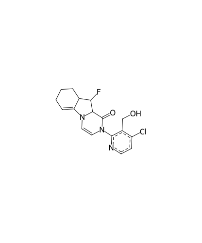 O=C1C2C(F)C3CCCC=C3N2C=CN1c1nccc(Cl)c1CO